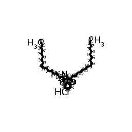 CCCCCCCC/C=C\CCCCCCCC(=O)C(CN)(C(=O)CCCCCCC/C=C\CCCCCCCC)c1ccccc1.Cl